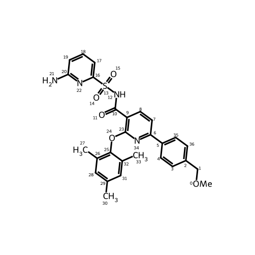 COCc1ccc(-c2ccc(C(=O)NS(=O)(=O)c3cccc(N)n3)c(Oc3c(C)cc(C)cc3C)n2)cc1